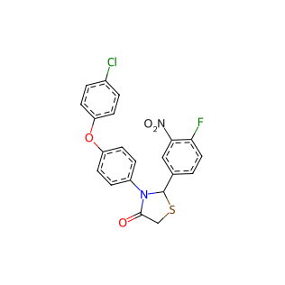 O=C1CSC(c2ccc(F)c([N+](=O)[O-])c2)N1c1ccc(Oc2ccc(Cl)cc2)cc1